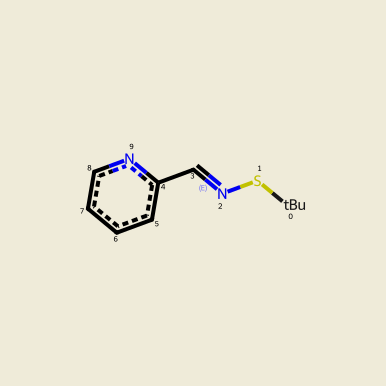 CC(C)(C)S/N=C/c1ccccn1